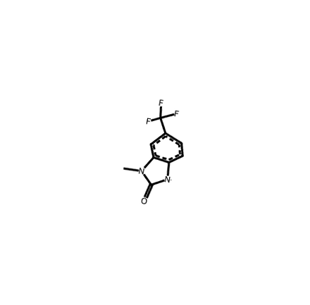 CN1C(=O)[N]c2ccc(C(F)(F)F)cc21